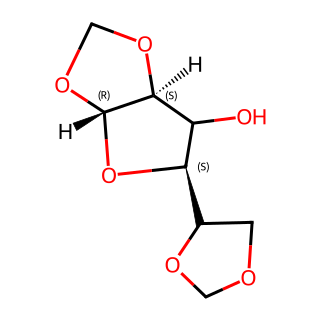 OC1[C@@H](C2COCO2)O[C@@H]2OCO[C@@H]12